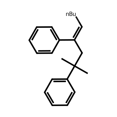 CCCCC=C(CC(C)(C)c1ccccc1)c1ccccc1